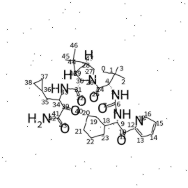 CC(C)(C)[C@H](NC(=O)N[C@H](C(=O)c1ccccn1)C1CCCCC1)C(=O)N1C[C@H]2[C@@H]([C@H]1C(=O)NC(CC1CC1)C(=O)C(N)=O)C2(C)C